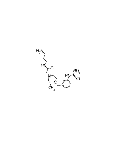 CC1CN(CC(=O)NCCCN)CCN1Cc1cccc(NC(=N)N)c1